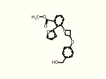 COC(=O)c1cccc(N2CC(Oc3ccc(CO)cc3)C2)c1-c1ccco1